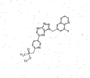 CCOP(C)(=O)Cc1ccc(-c2cnc3nnn(Cc4cc(F)c5ncccc5c4)c3n2)cn1